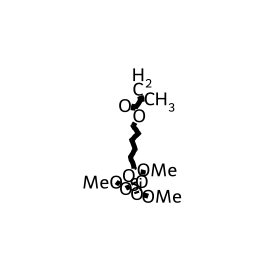 C=C(C)C(=O)OCCCCCCO[Si](OOC)(OOC)OOC